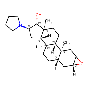 C[C@]12CC3O[C@@H]3C[C@@H]1CC[C@@H]1[C@@H]2CC[C@]2(C)[C@@H](O)[C@H](N3CCCC3)C[C@@H]12